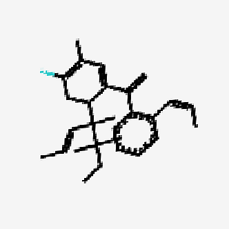 C=C(C1=CC(C)=C(F)CC1C(C)(C=CC)C(C)(C)CC)c1ccccc1/C=C\C